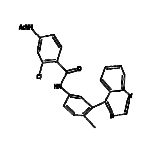 CC(=O)Nc1ccc(C(=O)Nc2ccc(C)c(-c3ncnc4ccccc34)c2)c(Cl)c1